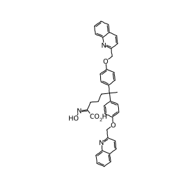 CC(CCC/C(=N/O)C(=O)O)(c1ccc(OCc2ccc3ccccc3n2)cc1)c1ccc(OCc2ccc3ccccc3n2)cc1